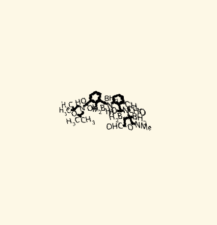 BC(B)(Nc1cccc(C)c1C(B)(O)N(C=O)C(B)(CCC=O)C(=O)NC)c1cccc(C(O)(O)N2CC(C)(C)OC(C)(C)C2)c1F